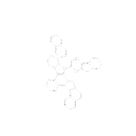 c1ccc2cc(-c3nc4c(nc3-n3c5ccccc5c5c6ccccc6c6c(sc7ccc8ccccc8c76)c53)sc3ccccc34)ccc2c1